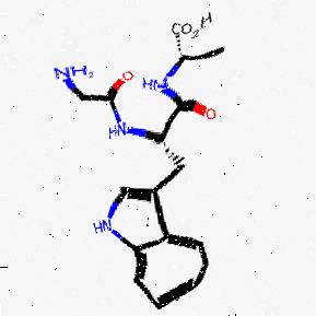 C[C@H](NC(=O)[C@H](Cc1c[nH]c2ccccc12)NC(=O)CN)C(=O)O